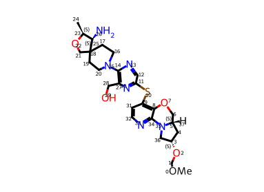 COCO[C@H]1C[C@H]2COc3c(Sc4cnc(N5CCC6(CC5)CO[C@@H](C)[C@H]6N)c(CO)n4)ccnc3N2C1